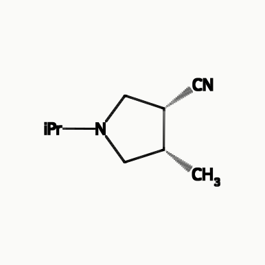 CC(C)N1C[C@@H](C)[C@@H](C#N)C1